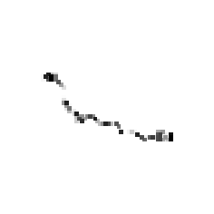 CCC(C)CC=C=NCCCCCCC(C)CC